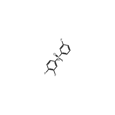 O=[SH](I)(c1cccc(F)c1)c1ccc(F)c(F)c1